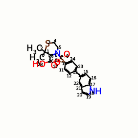 CC1(C)SCCN(S(=O)(=O)c2ccc(-c3ccc4[nH]ccc4c3)cc2)[C@H]1C(=O)O